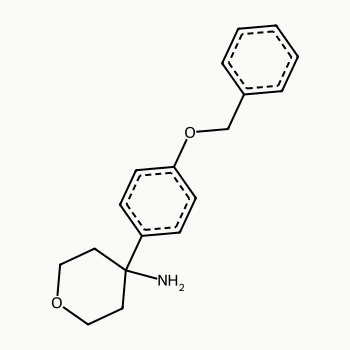 NC1(c2ccc(OCc3ccccc3)cc2)CCOCC1